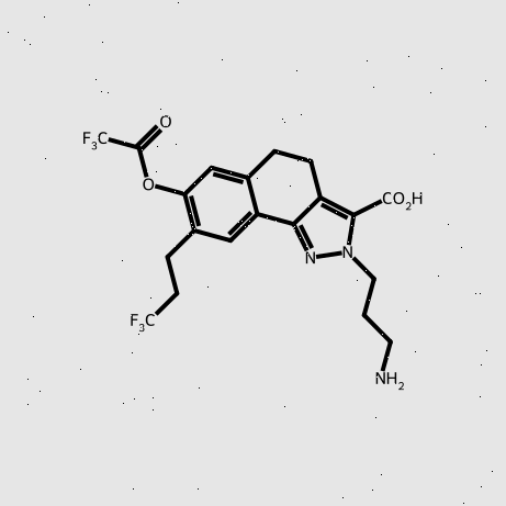 NCCCn1nc2c(c1C(=O)O)CCc1cc(OC(=O)C(F)(F)F)c(CCC(F)(F)F)cc1-2